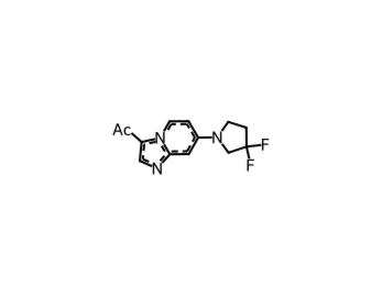 CC(=O)c1cnc2cc(N3CCC(F)(F)C3)ccn12